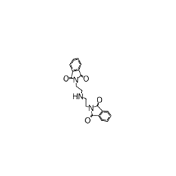 O=C1c2ccccc2C(=O)N1CCNCCN1C(=O)c2ccccc2C1=O